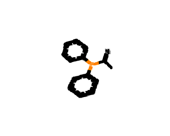 C[C](=[Ni])P(c1ccccc1)c1ccccc1